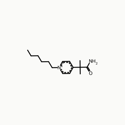 CCCCCC[n+]1ccc(C(C)(C)C(N)=O)cc1